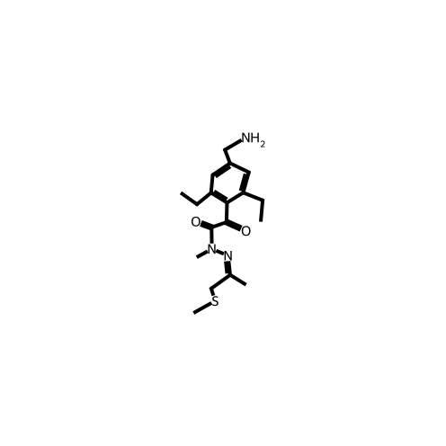 CCc1cc(CN)cc(CC)c1C(=O)C(=O)N(C)N=C(C)CSC